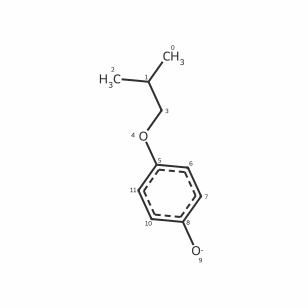 CC(C)COc1ccc([O])cc1